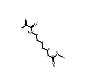 C=C(C)C(=O)NCCCCCCC(=O)OI